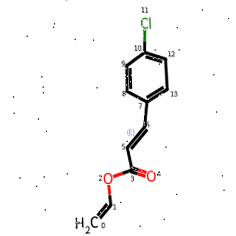 C=COC(=O)/C=C/c1ccc(Cl)cc1